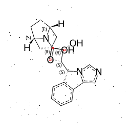 O=C(O)N1[C@@H]2CC[C@H]1C[C@]1(C[C@@H]([C@H]3c4ccccc4-c4cncn43)[C@H]1O)C2